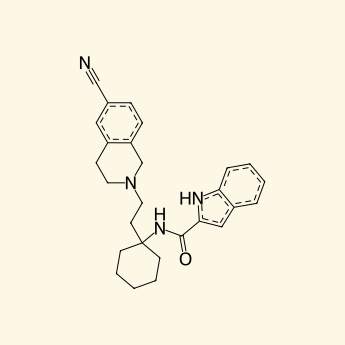 N#Cc1ccc2c(c1)CCN(CCC1(NC(=O)c3cc4ccccc4[nH]3)CCCCC1)C2